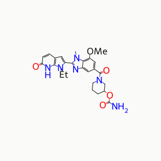 CCn1c(-c2nc3cc(C(=O)N4CCCC(OC(N)=O)C4)cc(OC)c3n2C)cc2ccc(=O)[nH]c21